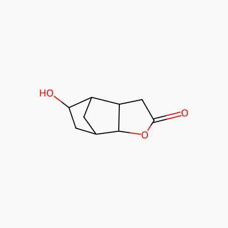 O=C1CC2C3CC(CC3O)C2O1